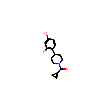 O=C(C1CC1)N1CCC(c2ccc(O)cc2F)CC1